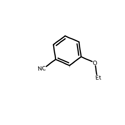 CCOc1[c]c(C#N)ccc1